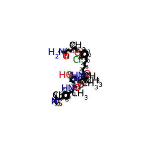 Cc1ncsc1-c1ccc([C@H](C)NC(=O)[C@@H]2C[C@@H](O)CN2C(=O)[C@@H](NC(=O)CCCCc2cccc(OC[C@@H](C)CCC(N)=O)c2Cl)C(C)(C)C)cc1